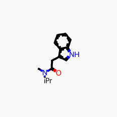 CC(C)N(C)C(=O)Cc1c[nH]c2ccccc12